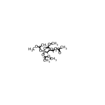 COC(C)O[Si](CCCOC(C)=O)(OC(C)OC)OC(C)OC